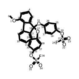 COc1cccc2c1-c1ccccc1C2(Oc1ccc(OS(=O)(=O)F)cc1)Oc1ccc(OS(=O)(=O)F)cc1